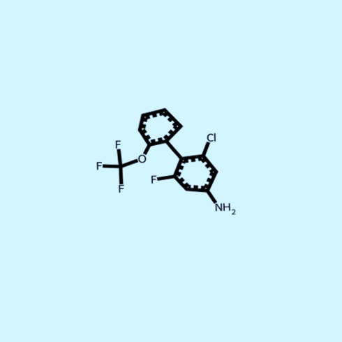 Nc1cc(F)c(-c2ccccc2OC(F)(F)F)c(Cl)c1